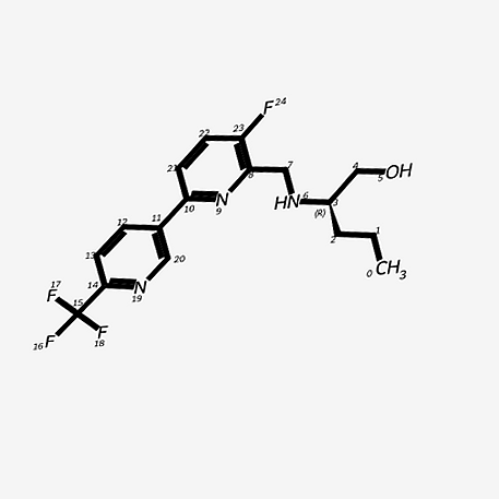 CCC[C@H](CO)NCc1nc(-c2ccc(C(F)(F)F)nc2)ccc1F